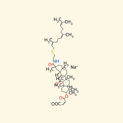 CC(C)=CCCC(C)=CCCC(C)=CCSCCNC(=O)C1(C)CC[C@]2(C)CC[C@]3(C)C(=CC(=O)C4[C@@]5(C)CC[C@H](OC(=O)/C=C\C(=O)[O-])C(C)(C)[C@H]5CC[C@]43C)[C@@H]2C1.[Na+]